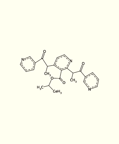 C[CH]([GeH3])OC(=O)c1c(C(C)C(=O)c2cccnc2)ccnc1C(C)C(=O)c1cccnc1